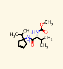 COC(=O)N[C@@H](C(=O)NC1(C(C)C)CC=CC1)C(C)C